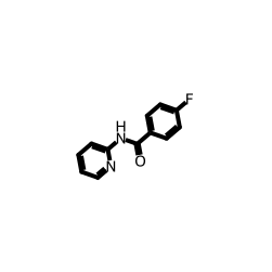 O=C(Nc1ccccn1)c1ccc(F)cc1